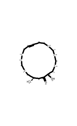 C[C@H]1CCCCCCC=CCCCCCCCCC(O)C(=O)C1